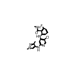 CNC(=O)c1c(F)cccc1Nc1cc(Nc2cn(C)nc2C)ncc1Cl